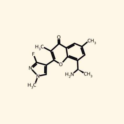 Cc1cc([C@@H](C)N)c2oc(-c3cn(C)nc3F)c(C)c(=O)c2c1